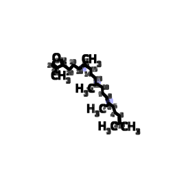 CC(C)=CCC/C(C)=C/CC/C(C)=C/CC/C(C)=C/CCc1cocc1C